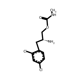 CNC(=O)OC[C@H](N)Cc1ccc(Cl)cc1Cl